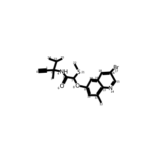 C#CC(C)(NC(=O)C(Oc1cc(C)c2ncc(Br)cc2c1)SC)C(C)C